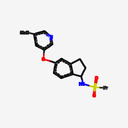 COc1cncc(Oc2ccc3c(c2)CCC3NS(=O)(=O)C(C)C)c1